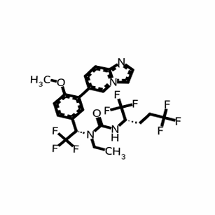 CCN(C(=O)N[C@@H](CCC(F)(F)F)C(F)(F)F)[C@@H](c1ccc(OC)c(-c2ccc3nccn3c2)c1)C(F)(F)F